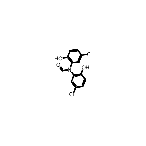 O=CN(c1cc(Cl)ccc1O)c1cc(Cl)ccc1O